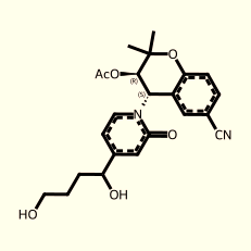 CC(=O)O[C@@H]1[C@@H](n2ccc(C(O)CCCO)cc2=O)c2cc(C#N)ccc2OC1(C)C